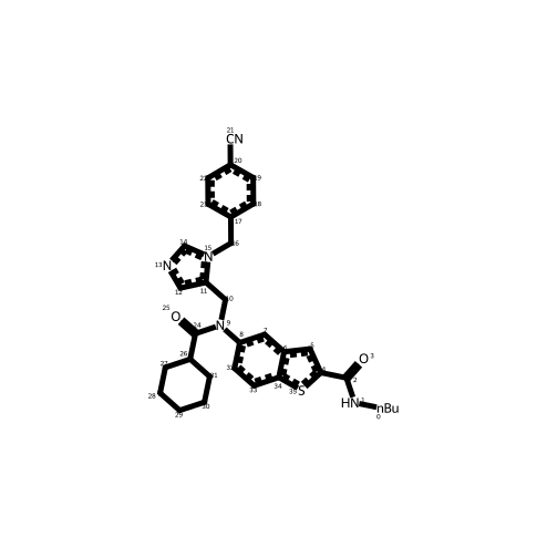 CCCCNC(=O)c1cc2cc(N(Cc3cncn3Cc3ccc(C#N)cc3)C(=O)C3CCCCC3)ccc2s1